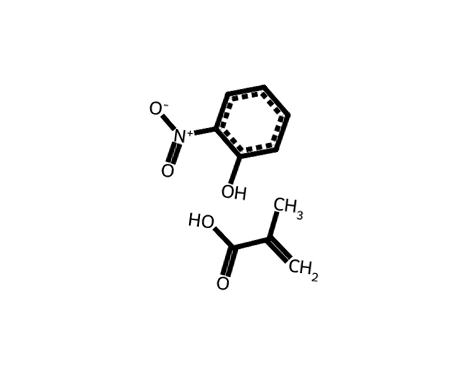 C=C(C)C(=O)O.O=[N+]([O-])c1ccccc1O